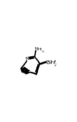 Bc1cccnc1N